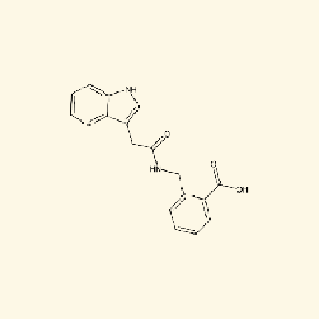 O=C(Cc1c[nH]c2ccccc12)NCc1ccccc1C(=O)O